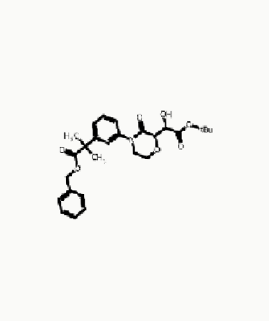 CC(C)(C)OC(=O)[C@H](O)[C@H]1OCCN(c2cccc(C(C)(C)C(=O)OCc3ccccc3)c2)C1=O